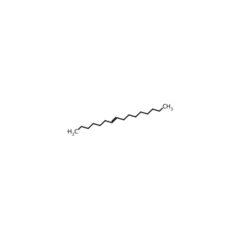 [CH2]CCCCCC=CCCCCCCCC